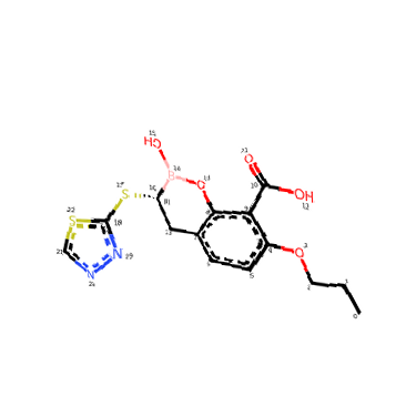 CCCOc1ccc2c(c1C(=O)O)OB(O)[C@@H](Sc1nncs1)C2